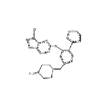 CN1CCN(Cc2ccc(-c3ccccc3)c(Oc3ccc4nnc(Cl)n4n3)c2)CC1